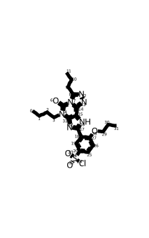 CCCCn1c(=O)n2c(CCC)nnc2c2[nH]c(-c3cc(S(=O)(=O)Cl)ccc3OCCC)nc21